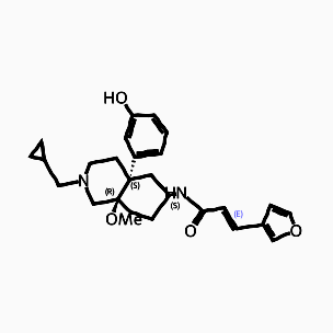 CO[C@]12CC[C@H](NC(=O)/C=C/c3ccoc3)C[C@]1(c1cccc(O)c1)CCN(CC1CC1)C2